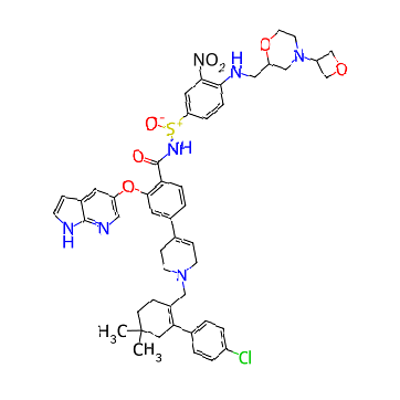 CC1(C)CCC(CN2CC=C(c3ccc(C(=O)N[S+]([O-])c4ccc(NCC5CN(C6COC6)CCO5)c([N+](=O)[O-])c4)c(Oc4cnc5[nH]ccc5c4)c3)CC2)=C(c2ccc(Cl)cc2)C1